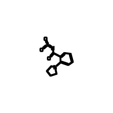 O=C(N=S(=O)=O)c1ccccc1N1CCCC1